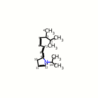 CC(C)C(C)/C=C\C=C=C1CC=CN1C(C)C